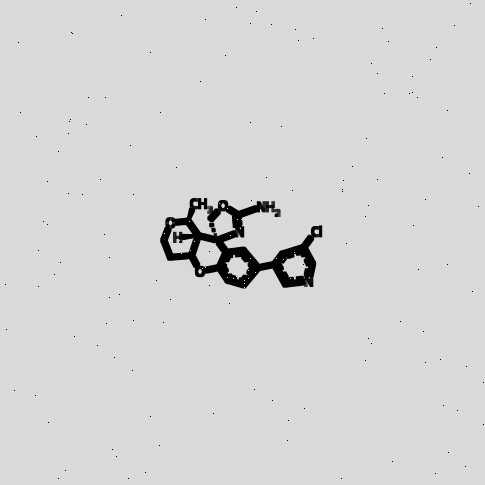 C[C@@H]1OCCC2Oc3ccc(-c4cncc(Cl)c4)cc3[C@@]3(COC(N)=N3)[C@H]21